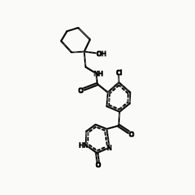 O=C(c1ccc(Cl)c(C(=O)NCC2(O)CCCCC2)c1)c1cc[nH]c(=O)n1